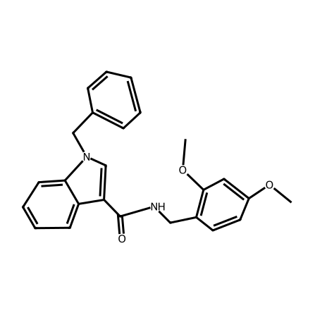 COc1ccc(CNC(=O)c2cn(Cc3ccccc3)c3ccccc23)c(OC)c1